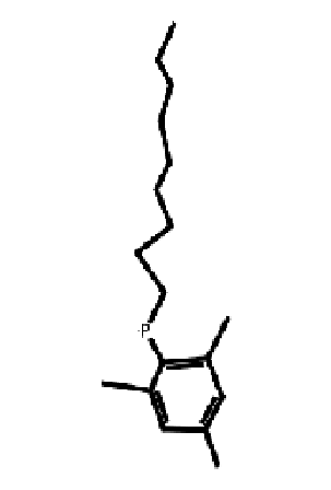 CCCCCCCCC[P]c1c(C)cc(C)cc1C